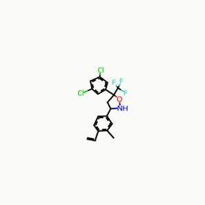 C=Cc1ccc(C2CC(c3cc(Cl)cc(Cl)c3)(C(F)(F)F)ON2)cc1C